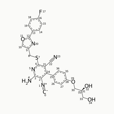 [C-]#[N+]c1c(N)nc(SCc2coc(-c3ccc(F)cc3)n2)c(C#N)c1-c1ccc(OC[C@@H](O)CO)cc1